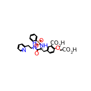 O=C(O)COc1ccc(C[C@H](NS(=O)(=O)c2ccccc2)C(=O)NCCc2ccccn2)cc1C(=O)O